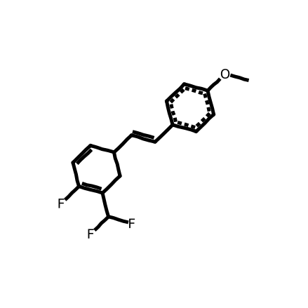 COc1ccc(/C=C/C2C=CC(F)=C(C(F)F)C2)cc1